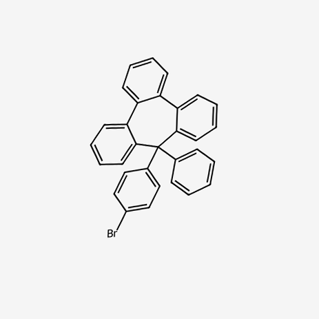 Brc1ccc(C2(c3ccccc3)c3ccccc3-c3ccccc3-c3ccccc32)cc1